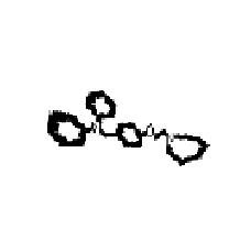 c1ccc(N(Cc2ccc(OCCN3CCCCC3)cc2)c2ccccc2)cc1